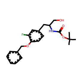 CC(C)(C)OC(=O)NC(CO)Cc1ccc(OCc2ccccc2)c(F)c1